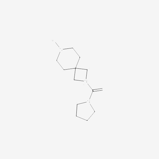 CCC(C)N1CCC2(CC1)CN(C(=O)N1CCCC1)C2